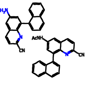 CC(=O)Nc1cc(-c2cccc3ccccc23)c2nc(C#N)ccc2c1.N#Cc1ccc2cc(N)cc(-c3cccc4ccccc34)c2n1